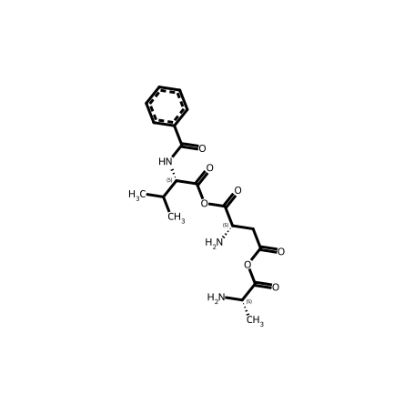 CC(C)[C@H](NC(=O)c1ccccc1)C(=O)OC(=O)[C@@H](N)CC(=O)OC(=O)[C@H](C)N